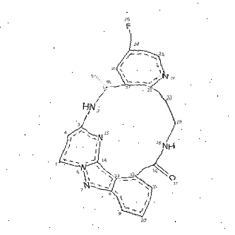 C[C@H]1Nc2ccn3nc4cccc(c4c3n2)C(=O)NCCc2ncc(F)cc21